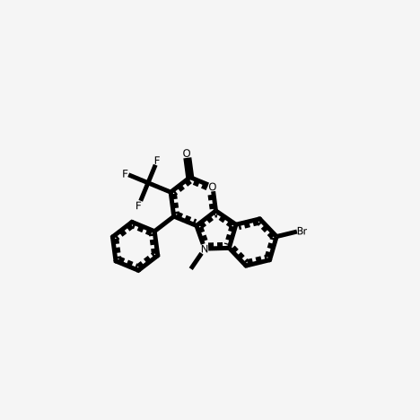 Cn1c2ccc(Br)cc2c2oc(=O)c(C(F)(F)F)c(-c3ccccc3)c21